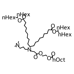 CCCCCCCCC(=O)OCCOC(=O)CCN(CCCN(C)C)C(CCCCCCCCC(=O)OC(CCCCCC)CCCCCC)CCCCCCCCC(=O)OC(CCCCCC)CCCCCC